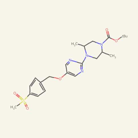 CC1CN(c2ncc(OCc3ccc(S(C)(=O)=O)cc3)cn2)C(C)CN1C(=O)OC(C)(C)C